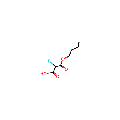 CCCCOC(=O)C(F)C(=O)O